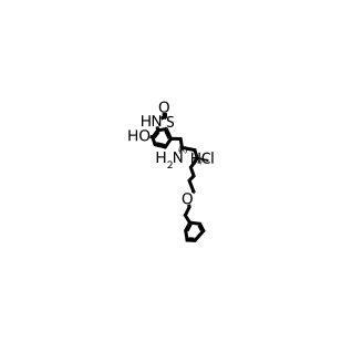 C[C@@H](CCCCOCCc1ccccc1)C[C@@H](N)Cc1ccc(O)c2[nH]c(=O)sc12.Cl